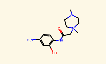 CN1CC[N+](C)(CC(=O)Nc2ccc(N)cc2O)CC1